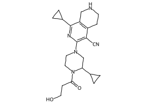 N#Cc1c(N2CCN(C(=O)CCO)C(C3CC3)C2)nc(C2CC2)c2c1CCNC2